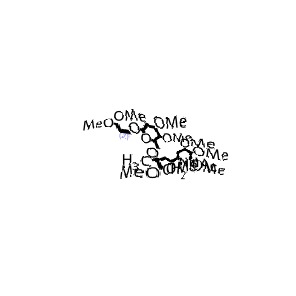 C=C(OC)C(C)(CC(OC)C(CC(OC)C(COC)OC)NC(C)=O)OCC1OC(O/C=C\COC)C(OC)C(OC)C1OC